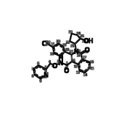 O=C(NOCc1ccccn1)C1c2ccccc2C(=O)N(C2CCCC2O)C1c1ccc(Cl)cc1